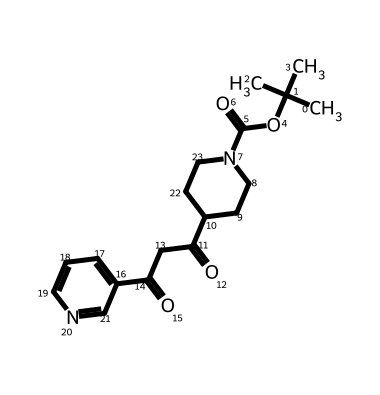 CC(C)(C)OC(=O)N1CCC(C(=O)CC(=O)c2cccnc2)CC1